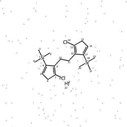 C[Si](C)(C)C1=CCC(Cl)=C1CCC1=C(Cl)CC=C1[Si](C)(C)C.[Hf]